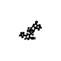 CC(C)(CC(O)(Cn1ccc(=O)c2sccc21)C(F)(F)F)c1cc(-c2ccsc2)ccc1O